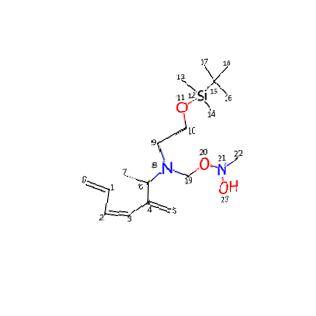 C=C/C=C\C(=C)C(C)N(CCO[Si](C)(C)C(C)(C)C)CON(C)O